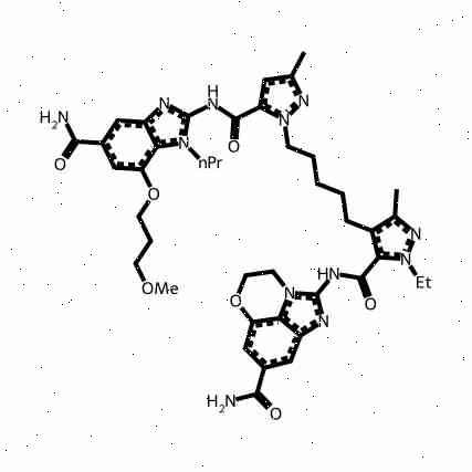 CCCn1c(NC(=O)c2cc(C)nn2CCCCCc2c(C)nn(CC)c2C(=O)Nc2nc3cc(C(N)=O)cc4c3n2CCO4)nc2cc(C(N)=O)cc(OCCCOC)c21